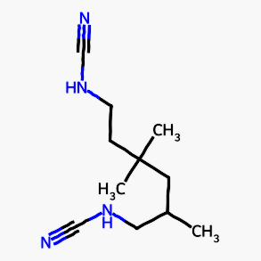 CC(CNC#N)CC(C)(C)CCNC#N